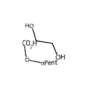 CCCCCOC(=O)O.OCCO